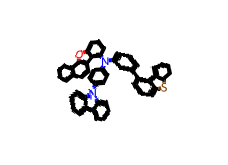 c1cc(-c2cccc3sc4ccccc4c23)cc(N(c2ccc(-n3c4ccccc4c4ccccc43)cc2)c2cccc3oc4c5ccccc5ccc4c23)c1